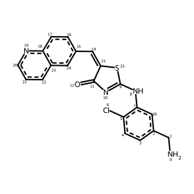 NCc1ccc(Cl)c(NC2=NC(=O)C(=Cc3ccc4ncccc4c3)S2)c1